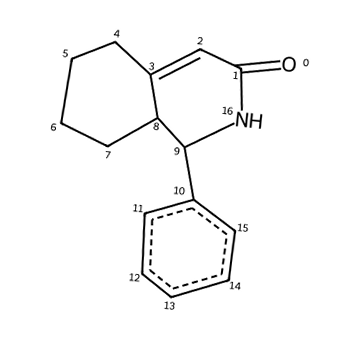 O=C1C=C2CCCCC2C(c2ccccc2)N1